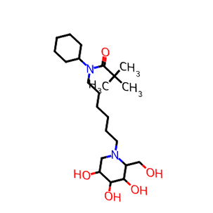 CC(C)(C)C(=O)N(CCCCCCN1CC(O)C(O)C(O)C1CO)C1CCCCC1